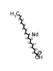 CCCCCCCCCCCCCCCCCC(=O)O.[Nd]